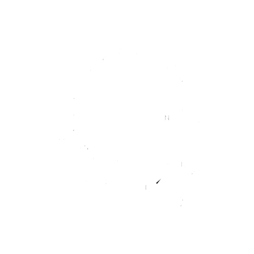 C[C@H](C(=O)O)[C@@H]1c2ccc(nc2)OCCCCCc2ccc(cc2)C(=O)N2CCc3ccc1cc3C2